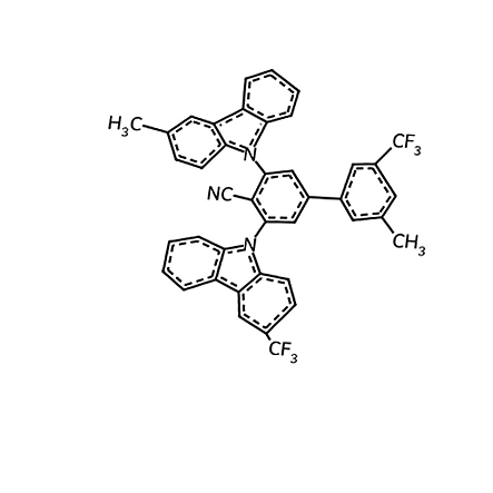 Cc1cc(-c2cc(-n3c4ccccc4c4cc(C)ccc43)c(C#N)c(-n3c4ccccc4c4cc(C(F)(F)F)ccc43)c2)cc(C(F)(F)F)c1